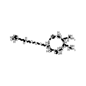 CC(O)C1NC(=O)[C@H](C)NC(=O)[C@H](CCCNC(=N)N)NC(=O)[C@H](CCCNC(=N)N)NC(=O)[C@@H](N)Cc2cn(nn2)CCCC[C@@H](C(=O)NCCCOCCOCCOCCCNC(=O)CCCC[C@H]2SC[C@H]3NC(=O)N[C@H]32)NC(=O)[C@H](CO)NC1=O